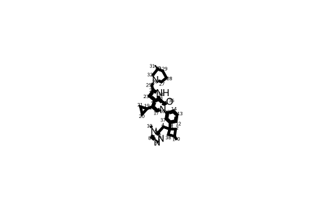 CC1CC(Cc2nncn2C)(c2cccc(-n3cc(C4CC4)c4cc(CN5CCC[C@H](C)C5)[nH]c4c3=O)c2)C1